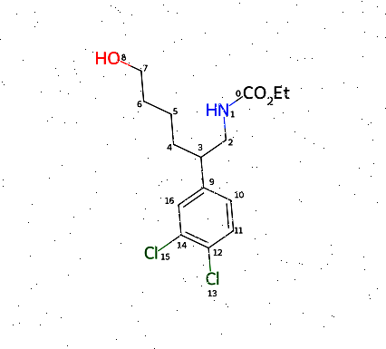 CCOC(=O)NCC(CCCCO)c1ccc(Cl)c(Cl)c1